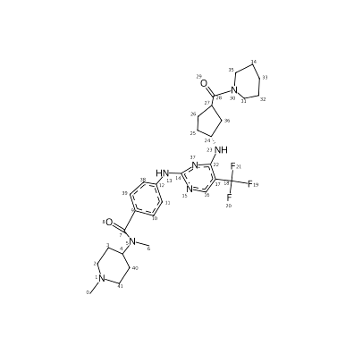 CN1CCC(N(C)C(=O)c2ccc(Nc3ncc(C(F)(F)F)c(N[C@@H]4CCC(C(=O)N5CCCCC5)C4)n3)cc2)CC1